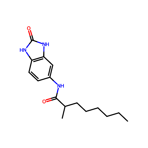 CCCCCCC(C)C(=O)Nc1ccc2[nH]c(=O)[nH]c2c1